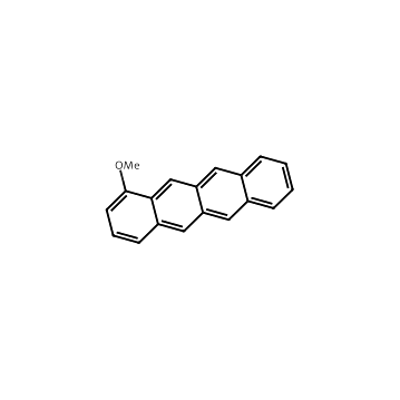 COc1cccc2cc3cc4ccccc4cc3cc12